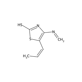 C=Nc1nc(S)sc1/C=C\C